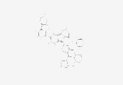 Cc1cc(C)c(-c2c3ccccc3c(-c3c(C)cc(C)cc3C)c3cc(-n4c5ccccc5c5cc(-c6cccc7c6sc6ccccc67)ccc54)ccc23)c(C)c1